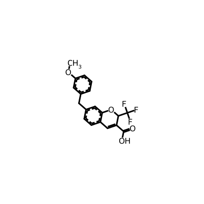 COc1cccc(Cc2ccc3c(c2)OC(C(F)(F)F)C(C(=O)O)=C3)c1